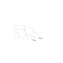 CN1C(=O)C=C[C@@]2(C)C1CC[C@@H]1[C@H]2CC[C@]2(C)CCC[C@@H]12